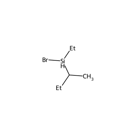 CCC(C)[SiH](Br)CC